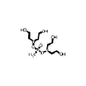 CP(=O)(ON(CCO)CCO)ON(CCO)CCO